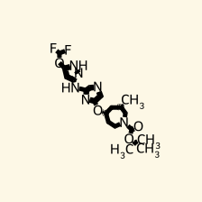 C[C@@H]1C[C@H](Oc2cncc(Nc3cc(OC(F)F)[nH]n3)n2)CCN(C(=O)OC(C)(C)C)C1